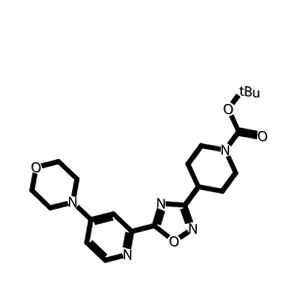 CC(C)(C)OC(=O)N1CCC(c2noc(-c3cc(N4CCOCC4)ccn3)n2)CC1